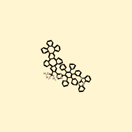 CC(C)(C)c1cc2c3ccccc3c3cc4c5ccccc5c5ccccc5c5ccccc5c4cc3c3ccccc3c2cc1-c1ncnc(-c2c(-c3ccccc3)c(-c3ccccc3)c(-c3cccc(-n4c5ccccc5n5c6ccccc6nc45)c3)c(-c3ccccc3)c2-c2ccccc2)n1